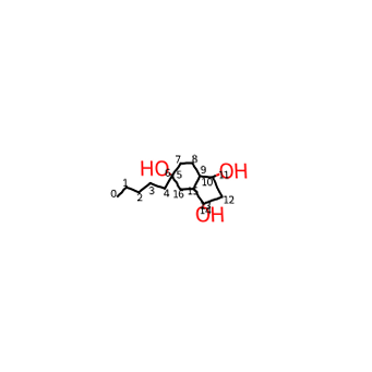 CCCCCC1(O)CCC2C(O)CC(O)C2C1